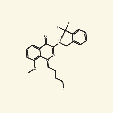 COc1cccc2c(=O)c(NCc3ccccc3C(F)(F)F)nn(CCCCF)c12